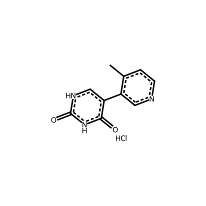 Cc1ccncc1-c1c[nH]c(=O)[nH]c1=O.Cl